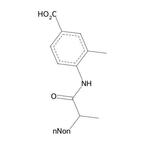 CCCCCCCCCC(C)C(=O)Nc1ccc(C(=O)O)cc1C